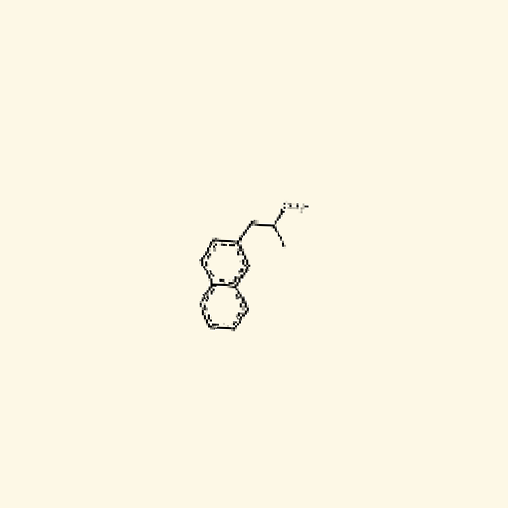 C[C@@H](Cc1ccc2ccccc2c1)C(=O)O